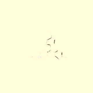 OCCN1CCC(=C(c2ccc(F)cc2)c2ccc(F)cc2)CC1